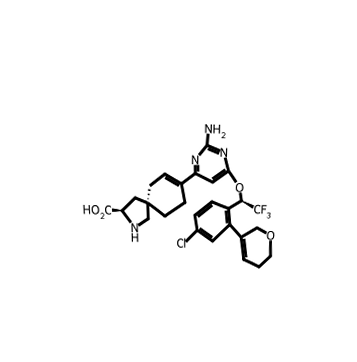 Nc1nc(O[C@H](c2ccc(Cl)cc2C2=CCCOC2)C(F)(F)F)cc(C2=CC[C@]3(CC2)CN[C@@H](C(=O)O)C3)n1